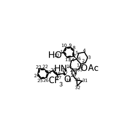 CC(=O)OC12CCCC[C@@]1(c1cccc(O)c1)C[C@@H](NC(=O)C(=Cc1ccccc1)C(F)(F)F)N(CC1CC1)C2